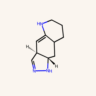 C1=NN[C@H]2CC3CCCNC3=C[C@H]12